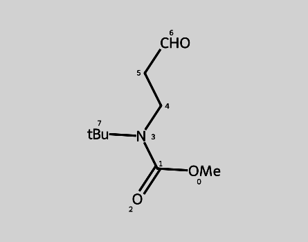 COC(=O)N(CCC=O)C(C)(C)C